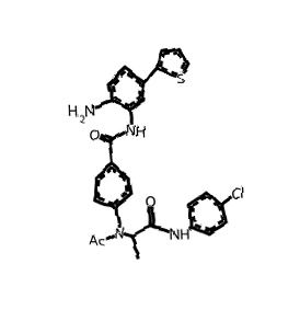 CC(=O)N(c1ccc(C(=O)Nc2cc(-c3cccs3)ccc2N)cc1)C(C)C(=O)Nc1ccc(Cl)cc1